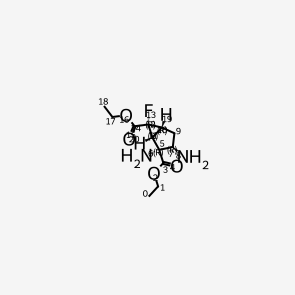 CCOC(=O)[C@]1(N)[C@H](N)C[C@@H]2[C@H]1[C@@]2(F)C(=O)OCC